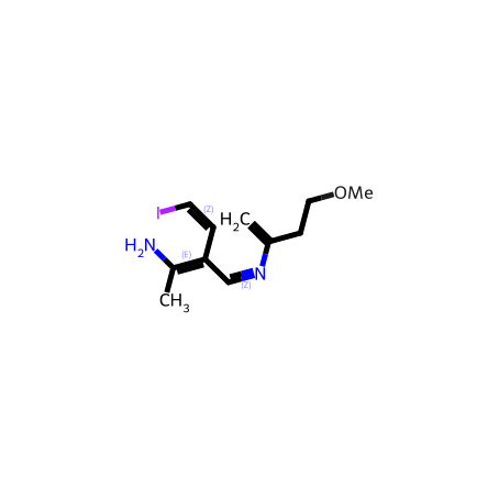 C=C(CCOC)\N=C/C(/C=C\I)=C(\C)N